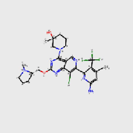 Cc1cc(N)nc(-c2ncc3c(N4CCC[C@@](C)(O)C4)nc(OC[C@@H]4CCCN4C)nc3c2F)c1C(F)(F)F